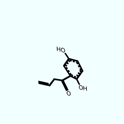 C=CCC(=O)c1cc(O)ccc1O